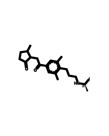 Cc1cc(C(=O)CC2C(=O)CCC2C)cc(C)c1CCCN[C@@H](C)I